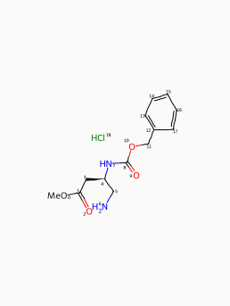 COC(=O)C[C@H](CN)NC(=O)OCc1ccccc1.Cl